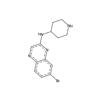 Brc1ccc2ncc(NC3CCNCC3)nc2c1